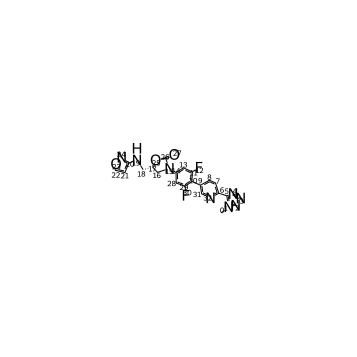 Cn1nnnc1-c1ccc(-c2c(F)cc(N3C[C@H](CNc4ccon4)OC3=O)cc2F)cn1